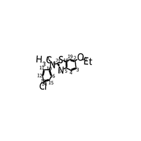 CCOc1ccc2nc(N(C)c3ccc(Cl)cc3)sc2c1